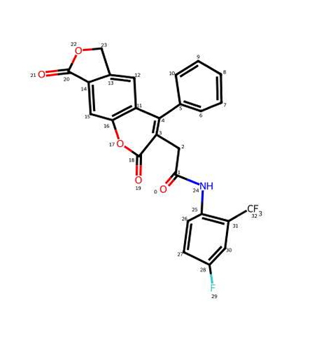 O=C(Cc1c(-c2ccccc2)c2cc3c(cc2oc1=O)C(=O)OC3)Nc1ccc(F)cc1C(F)(F)F